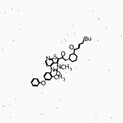 CCC(C)C/C=C/C(=O)C1CCC[C@@H](CC(=O)c2sc3nccc4c3c2N(C)C(=O)N4c2ccc(Oc3ccccc3)cc2C)C1